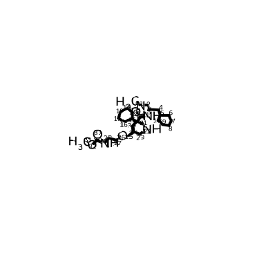 CNC[C@@H](CC1CCCCC1)NC(=O)C1(C2CCCCC2)CNCC(COCCNC(=O)OC)C1